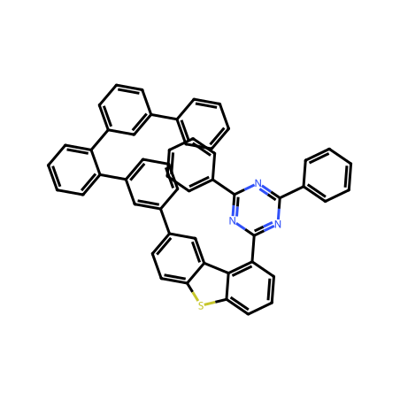 c1ccc(-c2cccc(-c3ccccc3-c3cccc(-c4ccc5sc6cccc(-c7nc(-c8ccccc8)nc(-c8ccccc8)n7)c6c5c4)c3)c2)cc1